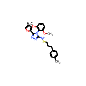 COc1cccc(OC)c1-n1c(NSCCCc2ccc(C)cc2)nnc1-c1ccco1